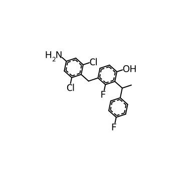 CC(c1ccc(F)cc1)c1c(O)ccc(Cc2c(Cl)cc(N)cc2Cl)c1F